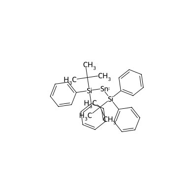 CC(C)(C)[Si]([Sn][Si](c1ccccc1)(c1ccccc1)C(C)(C)C)(c1ccccc1)c1ccccc1